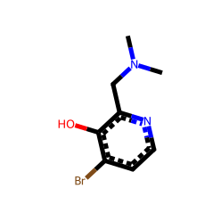 CN(C)Cc1nccc(Br)c1O